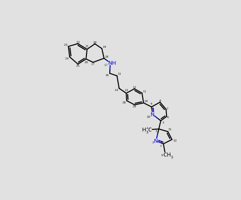 CC1=NC(C)(c2cccc(-c3ccc(CCCNC4CCc5ccccc5C4)cc3)n2)C=C1